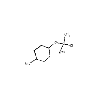 CC(C)(C)[Si](C)(Cl)OC1CCC(O)CC1